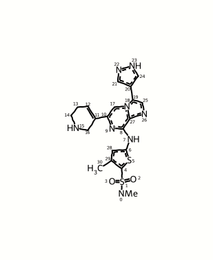 CNS(=O)(=O)c1sc(Nc2nc(C3=CCCNC3)cn3c(-c4cn[nH]c4)cnc23)cc1C